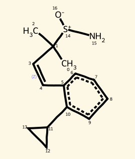 CC(C)(/C=C\c1ccccc1C1CC1)[S+](N)[O-]